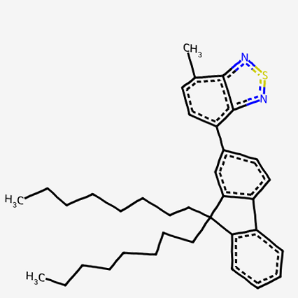 CCCCCCCCC1(CCCCCCCC)c2ccccc2-c2ccc(-c3ccc(C)c4nsnc34)cc21